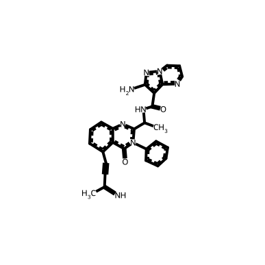 CC(=N)C#Cc1cccc2nc(C(C)NC(=O)c3c(N)nn4cccnc34)n(-c3ccccc3)c(=O)c12